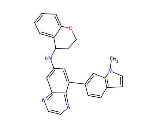 Cn1ccc2ccc(-c3cc(NC4CCOc5ccccc54)cc4nccnc34)cc21